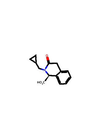 O=C(O)[C@@H]1c2ccccc2CC(=O)N1CC1CC1